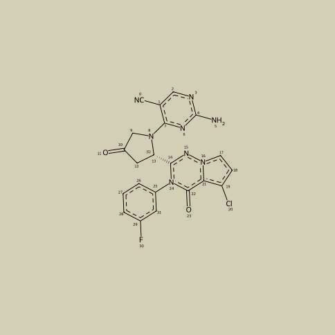 N#Cc1cnc(N)nc1N1CC(=O)C[C@H]1c1nn2ccc(Cl)c2c(=O)n1-c1cccc(F)c1